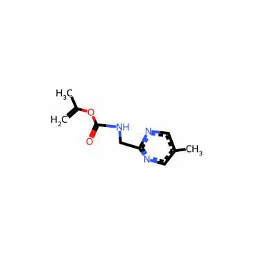 C=C(C)OC(=O)NCc1ncc(C)cn1